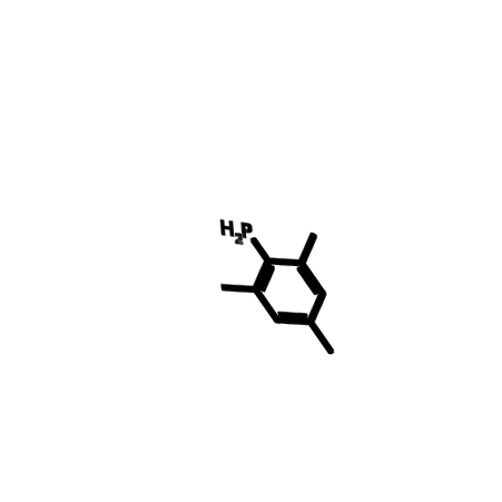 Cc1cc(C)c(P)c(C)c1